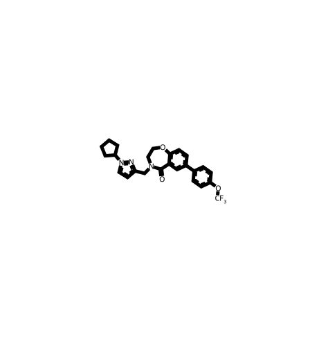 O=C1c2cc(-c3ccc(OC(F)(F)F)cc3)ccc2OCCN1Cc1ccn(C2CCCC2)n1